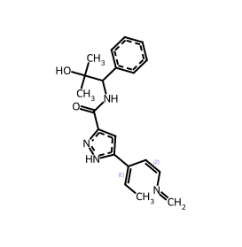 C=N/C=C\C(=C/C)c1cc(C(=O)NC(c2ccccc2)C(C)(C)O)n[nH]1